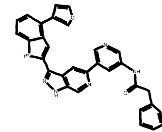 O=C(Cc1ccccc1)Nc1cncc(-c2cc3c(-c4cc5c(-c6ccoc6)cccc5[nH]4)n[nH]c3cn2)c1